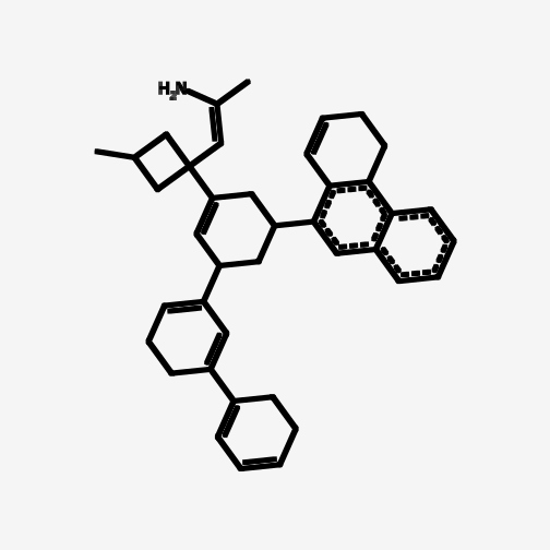 C/C(N)=C/C1(C2=CC(C3=CCCC(C4=CC=CCC4)=C3)CC(c3cc4ccccc4c4c3C=CCC4)C2)CC(C)C1